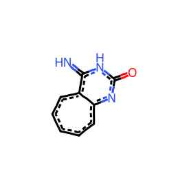 N=c1[nH]c(=O)nc2cccccc1-2